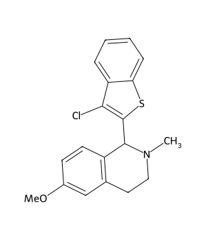 COc1ccc2c(c1)CCN(C)C2c1sc2ccccc2c1Cl